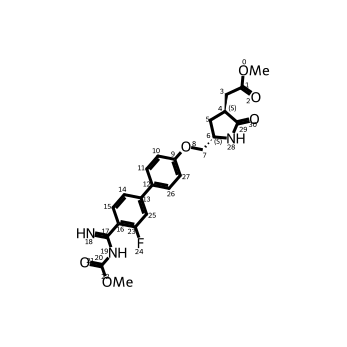 COC(=O)C[C@@H]1C[C@@H](COc2ccc(-c3ccc(C(=N)NC(=O)OC)c(F)c3)cc2)NC1=O